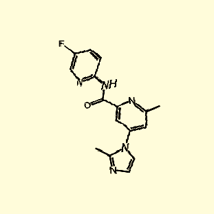 Cc1cc(-n2ccnc2C)cc(C(=O)Nc2ccc(F)cn2)n1